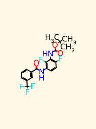 CC(C)(C)OC(=O)Nc1c(F)ccc(NC(=O)c2cccc(C(F)(F)F)c2)c1F